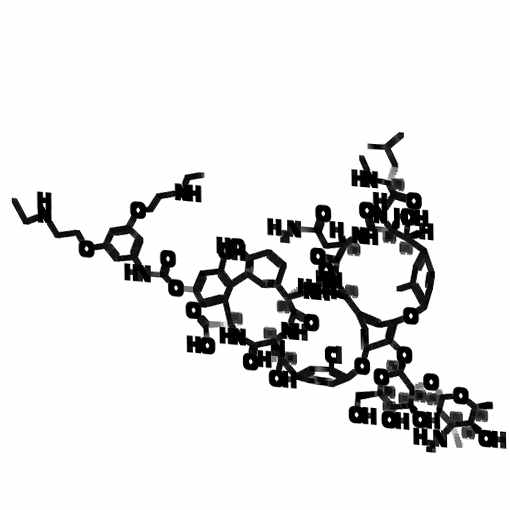 CCNCCOc1cc(NC(=O)Oc2cc(O)c3c(c2)[C@@H](C(=O)O)NC(=O)[C@H]2NC(=O)[C@H](NC(=O)[C@@H]4NC(=O)[C@H](CC(N)=O)NC(=O)[C@H](NC(=O)[C@@H](CC(C)C)NC)[C@H](O)c5ccc(c(C)c5)Oc5cc4cc(c5O[C@@H]4O[C@H](CO)[C@@H](O)[C@H](O)[C@H]4O[C@H]4C[C@](C)(N)[C@H](O)[C@H](C)O4)Oc4ccc(cc4Cl)[C@H]2O)c2ccc(O)c-3c2)cc(OCCNCC)c1